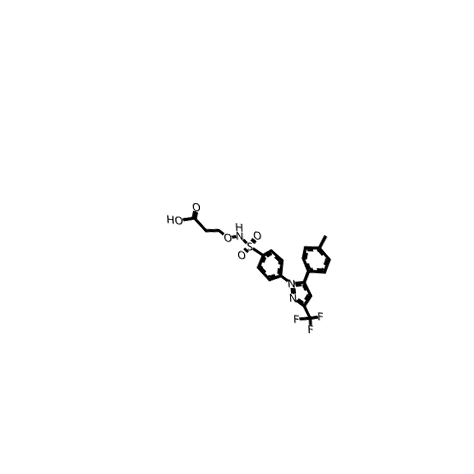 Cc1ccc(-c2cc(C(F)(F)F)nn2-c2ccc(S(=O)(=O)NOCCC(=O)O)cc2)cc1